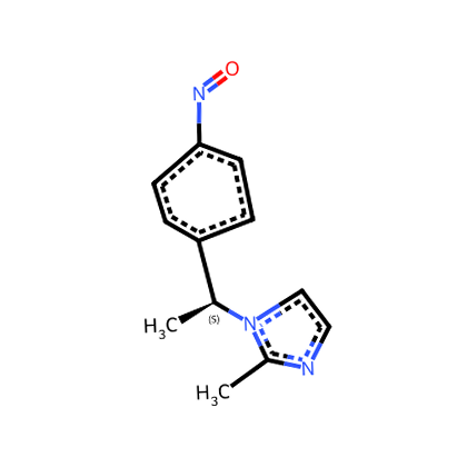 Cc1nccn1[C@@H](C)c1ccc(N=O)cc1